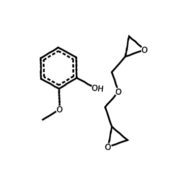 C(OCC1CO1)C1CO1.COc1ccccc1O